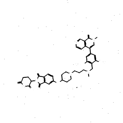 COc1cc(-c2cn(C)c(=O)c3cnccc23)cc(OC)c1CN(C)CCCN1CCC(Oc2ccc3c(c2)C(=O)N(C2CCC(=O)NC2=O)C3=O)CC1.O=CO